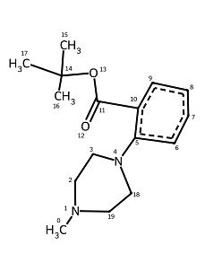 CN1CCN(c2ccccc2C(=O)OC(C)(C)C)CC1